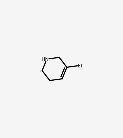 CCC1=CC[C]NC1